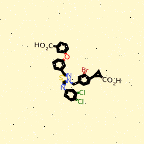 O=C(O)c1cccc(Oc2cccc(-c3nn(Cc4ccc(C5CC5C(=O)O)c(Br)c4)/c(=N\c4ccc(Cl)c(Cl)c4)s3)c2)c1